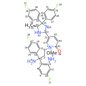 CO[N+]1(C[C@H](N)C(N)(c2ccc(F)cc2)c2ccc(F)cc2)C=C(C2=NC(c3ccc(F)cc3)(c3ccc(F)cc3)[C@H](C)N2)C=CC1=O